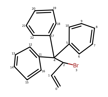 C=CC(Br)C(c1ccccc1)(c1ccccc1)c1ccccc1